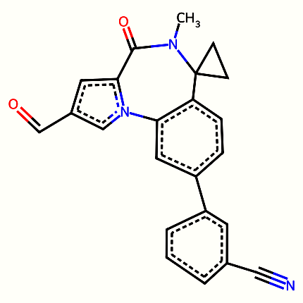 CN1C(=O)c2cc(C=O)cn2-c2cc(-c3cccc(C#N)c3)ccc2C12CC2